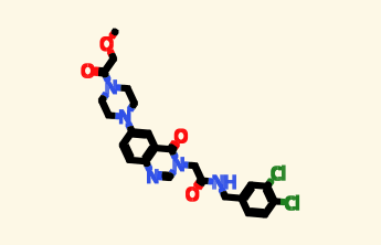 COCC(=O)N1CCN(c2ccc3ncn(CC(=O)NCc4ccc(Cl)c(Cl)c4)c(=O)c3c2)CC1